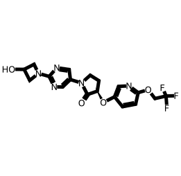 O=C1[C@H](Oc2ccc(OCC(F)(F)F)nc2)CCN1c1cnc(N2CC(O)C2)nc1